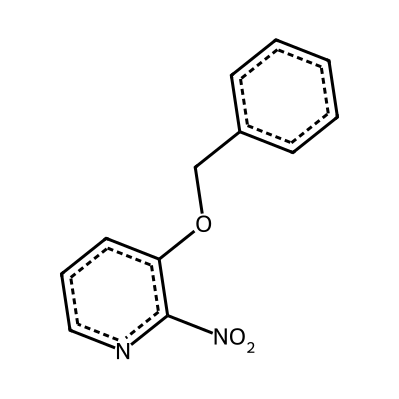 O=[N+]([O-])c1ncccc1OCc1ccccc1